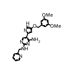 COc1cc(COc2cc(-c3cnc(NCc4ccccn4)nc3N)n[nH]2)cc(OC)c1